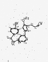 CCOc1cc(-c2cc(NC(C)c3ccc(Br)cc3)ncn2)sc1CCC#N